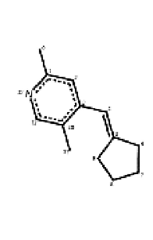 Cc1cc(C=C2CCCC2)c(C)cn1